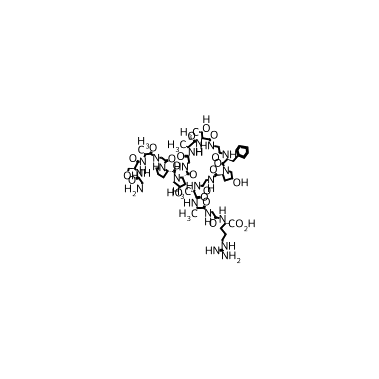 C[C@H](NC(=O)CNC(=O)[C@@H]1C[C@@H](O)CN1C(=O)[C@H](Cc1ccccc1)NC(=O)CNC(=O)[C@@H](NC(=O)[C@H](C)NC(=O)CNC(=O)[C@@H]1C[C@@H](O)CN1C(=O)[C@@H]1CCCN1C(=O)CNC(=O)[C@H](C)NC(=O)[C@H](CO)NC(=O)CN)[C@@H](C)O)C(=O)N[C@@H](C)C(=O)NCC(=O)N[C@@H](CCCNC(=N)N)C(=O)O